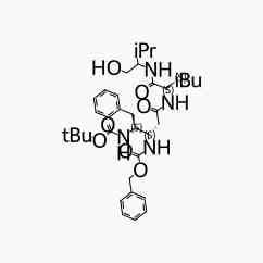 CC[C@H](C)[C@H](NC(=O)C[C@H](NC(=O)OCc1ccccc1)[C@H](Cc1ccccc1)NC(=O)OC(C)(C)C)C(=O)NC(CO)C(C)C